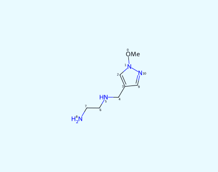 COn1cc(CNCCN)cn1